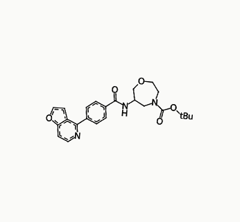 CC(C)(C)OC(=O)N1CCOCC(NC(=O)c2ccc(-c3nccc4occc34)cc2)C1